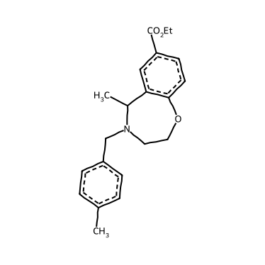 CCOC(=O)c1ccc2c(c1)C(C)N(Cc1ccc(C)cc1)CCO2